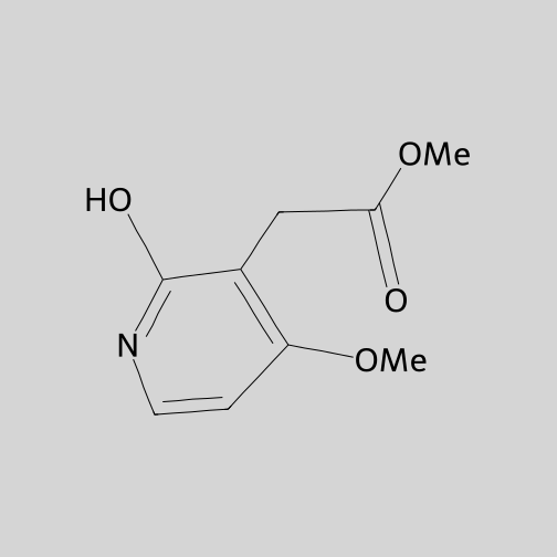 COC(=O)Cc1c(OC)ccnc1O